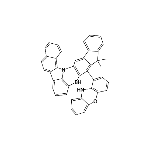 CC1(C)c2ccccc2-c2cc3c(c(-c4cccc5c4Nc4ccccc4O5)c21)Bc1cccc2c4ccc5ccccc5c4n-3c12